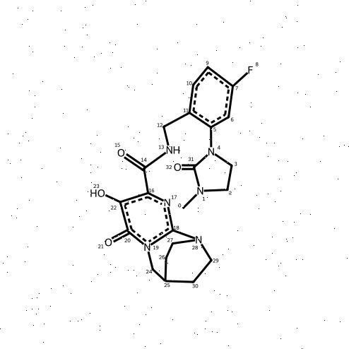 CN1CCN(c2cc(F)ccc2CNC(=O)c2nc3n(c(=O)c2O)CC2CCN3CC2)C1=O